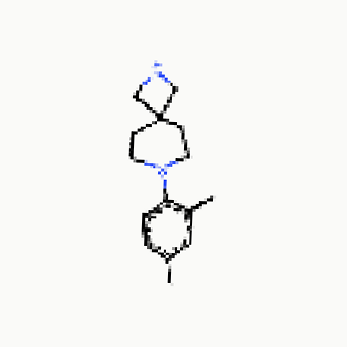 Cc1ccc(N2CCC3(CC2)CNC3)c(C)c1